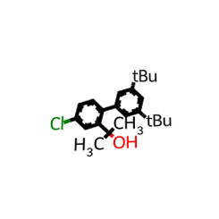 CC(C)(C)c1cc(-c2ccc(Cl)cc2C(C)(C)O)cc(C(C)(C)C)c1